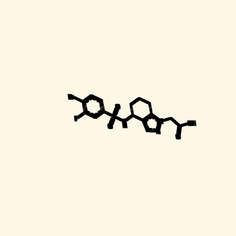 O=C(O)Cn1ncc2c1CCCC2NS(=O)(=O)c1ccc(Br)c(F)c1